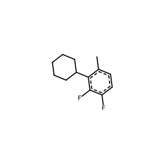 Cc1ccc(F)c(F)c1C1CCCCC1